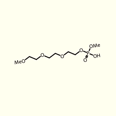 COCCOCCOCCOP(=O)(O)OC